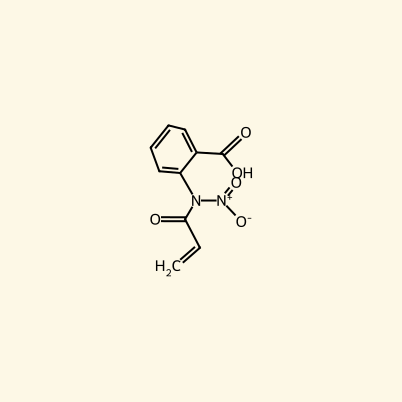 C=CC(=O)N(c1ccccc1C(=O)O)[N+](=O)[O-]